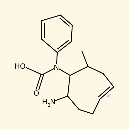 CC1C/C=C/CCC(N)C1N(C(=O)O)c1ccccc1